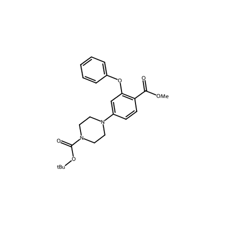 COC(=O)c1ccc(N2CCN(C(=O)OC(C)(C)C)CC2)cc1Oc1ccccc1